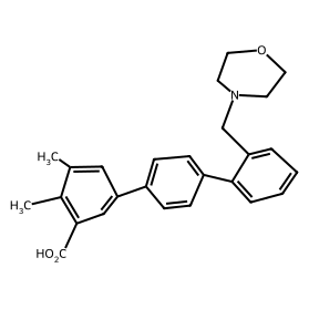 Cc1cc(-c2ccc(-c3ccccc3CN3CCOCC3)cc2)cc(C(=O)O)c1C